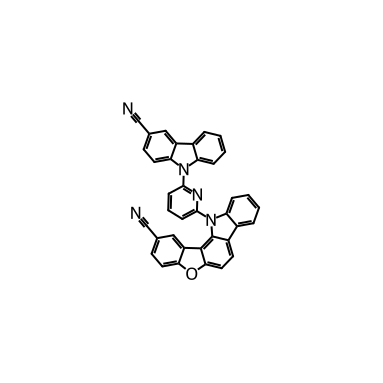 N#Cc1ccc2oc3ccc4c5ccccc5n(-c5cccc(-n6c7ccccc7c7cc(C#N)ccc76)n5)c4c3c2c1